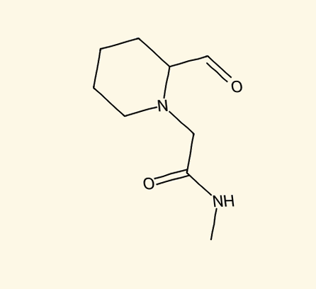 CNC(=O)CN1CCCCC1C=O